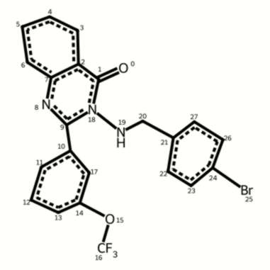 O=c1c2ccccc2nc(-c2cccc(OC(F)(F)F)c2)n1NCc1ccc(Br)cc1